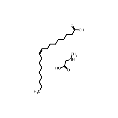 CCCCCCCC/C=C\CCCCCCCC(=O)O.CNCC(=O)O